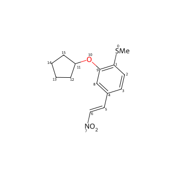 CSc1ccc(C=C[N+](=O)[O-])cc1OC1CCCC1